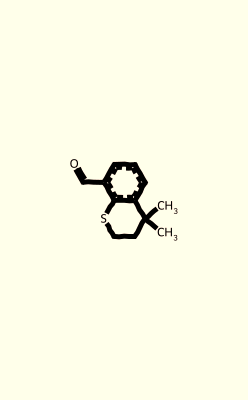 CC1(C)CCSc2c(C=O)cccc21